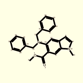 COC(=O)c1cc2c(ccn2C)cc1N(Cc1ccccc1)Cc1ccccc1